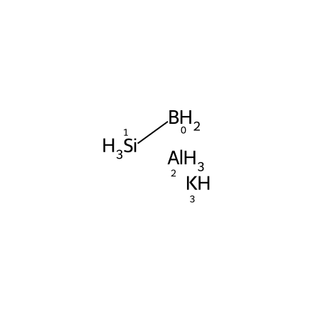 B[SiH3].[AlH3].[KH]